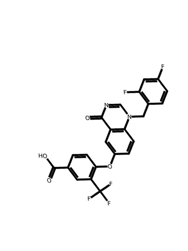 O=C(O)c1ccc(Oc2ccc3c(c2)c(=O)ncn3Cc2ccc(F)cc2F)c(C(F)(F)F)c1